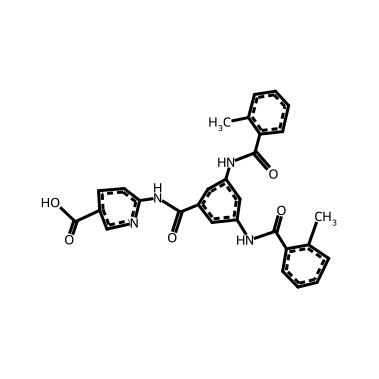 Cc1ccccc1C(=O)Nc1cc(NC(=O)c2ccccc2C)cc(C(=O)Nc2ccc(C(=O)O)cn2)c1